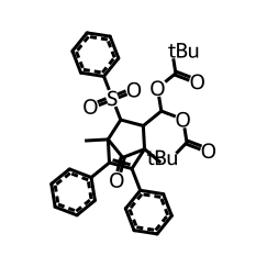 CC(C)(C)C(=O)OC(OC(=O)C(C)(C)C)C1C(S(=O)(=O)c2ccccc2)C2(C)C(=O)C1(C)C(c1ccccc1)=C2c1ccccc1